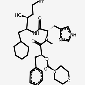 CC(C)CC[C@H](O)[C@H](CC1CCCCC1)NC(=O)[C@H](Cc1c[nH]cn1)N(C)C(=O)[C@H](Cc1ccccc1)OC(=O)N1CCSCC1